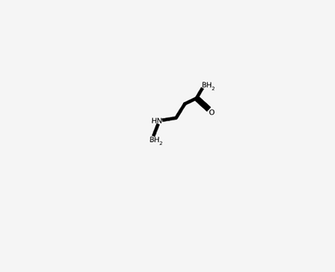 BNCCC(B)=O